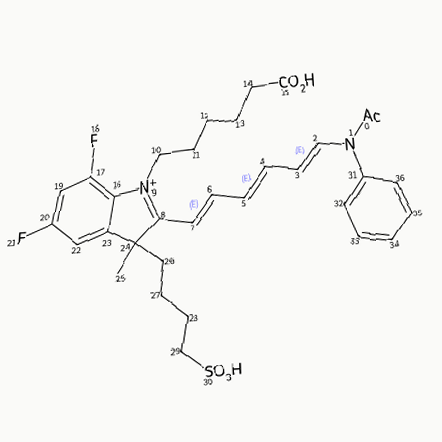 CC(=O)N(/C=C/C=C/C=C/C1=[N+](CCCCCC(=O)O)c2c(F)cc(F)cc2C1(C)CCCCS(=O)(=O)O)c1ccccc1